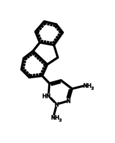 NC1=NN(N)NC(c2cccc3c2Cc2ccccc2-3)=C1